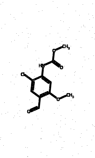 COC(=O)Nc1cc(OC)c(C=O)cc1Cl